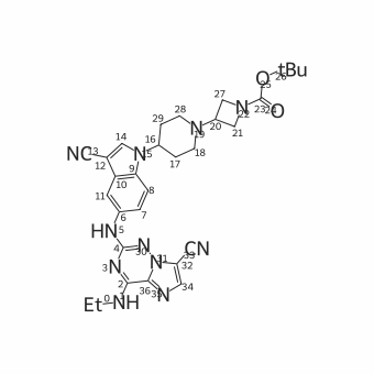 CCNc1nc(Nc2ccc3c(c2)c(C#N)cn3C2CCN(C3CN(C(=O)OC(C)(C)C)C3)CC2)nn2c(C#N)cnc12